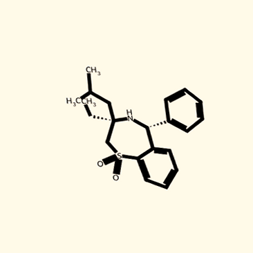 CC[C@@]1(CC(C)C)CS(=O)(=O)c2ccccc2[C@@H](c2ccccc2)N1